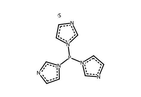 [S].c1cn(P(n2ccnc2)n2ccnc2)cn1